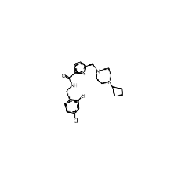 O=C(NCc1ccc(Cl)cc1Cl)c1ccc(CN2CCN(C3CCC3)CC2)s1